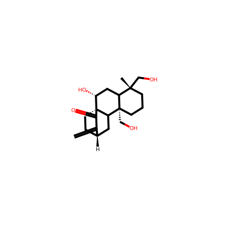 C=C1C(=O)[C@]23CC[C@H]1CC2[C@]1(CO)CCC[C@@](C)(CO)C1C[C@H]3O